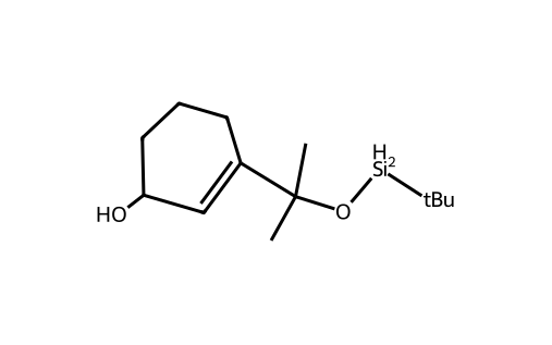 CC(C)(C)[SiH2]OC(C)(C)C1=CC(O)CCC1